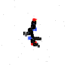 COc1cc(S(C)(=O)=O)ccc1NCC#Cc1cc2c(N[C@H]3CC[C@@H](N4CC[S+]([O-])CC4)CC3)cccc2n1CC(F)(F)F